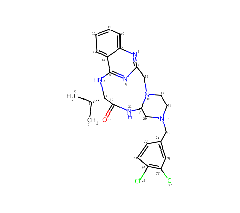 CC(C)[C@@H]1Nc2nc(nc3ccccc23)CN2CCN(Cc3ccc(Cl)c(Cl)c3)CC2NC1=O